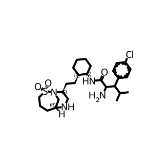 CC(C)C(c1ccc(Cl)cc1)C(N)C(=O)N[C@H]1CCCC[C@@H]1CC[C@H]1CN[C@@H]2CCCS(=O)(=O)N1C2